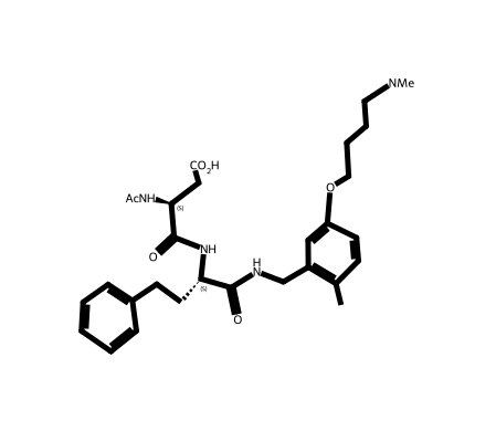 CNCCCCOc1ccc(C)c(CNC(=O)[C@H](CCc2ccccc2)NC(=O)[C@H](CC(=O)O)NC(C)=O)c1